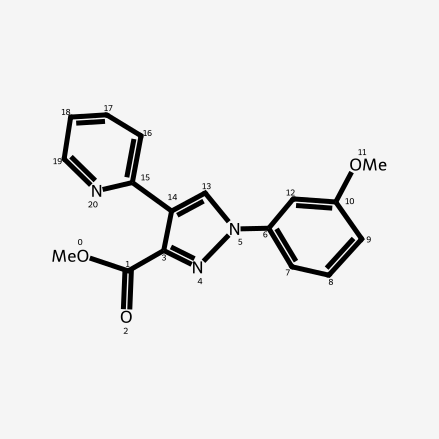 COC(=O)c1nn(-c2cccc(OC)c2)cc1-c1ccccn1